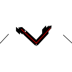 F.F.F.F.F.F.F.F.F.F.F.F.F.F.F.F.F.F.F.F.F.F.F.F.F.[N].[N].[N].[N].[N].[N].[N].[N].[N].[N].[N].[N].[N].[N].[N].[N].[N].[N].[N].[N].[N].[N].[N].[N].[N].[N].[N].[N].[N].[N].[N].[N].[N].[N].[N].[N].[N].[N].[N].[N].[N].[N].[N].[N].[N].[N].[N].[N].[N].[N].[N].[N].[N].[N].[N].[N].[N].[N].[N].[N].[N].[N].[N].[N].[N].[N].[N].[N].[N].[N].[N].[N].[N].[N].[N]